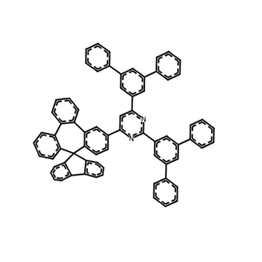 c1ccc(-c2cc(-c3ccccc3)cc(-c3cc(-c4ccc5c(c4)-c4ccccc4-c4ccccc4C54c5ccccc5-c5ccccc54)nc(-c4cc(-c5ccccc5)cc(-c5ccccc5)c4)n3)c2)cc1